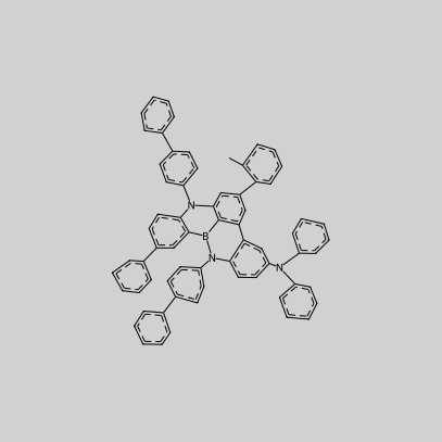 Cc1ccccc1-c1cc2c3c(c1)N(c1ccc(-c4ccccc4)cc1)c1ccc(-c4ccccc4)cc1B3N(c1ccc(-c3ccccc3)cc1)c1ccc(N(c3ccccc3)c3ccccc3)cc1-2